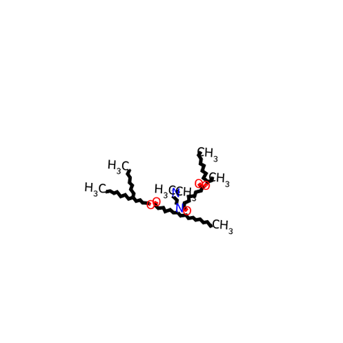 CCCCCCCCCCC(CCCCCC(=O)OCCCCC(CCCCCCCC)CCCCCCCC)N(CCCN(C)C)C(=O)CCCCCCC(=O)OC(CC)CCCCCCCC